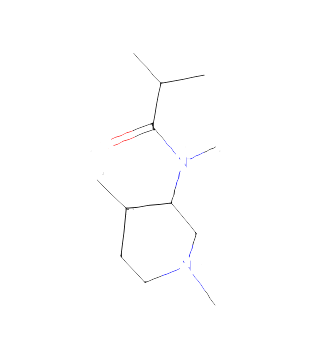 CC(C)C(=O)N(C)C1CN(C)CCC1C